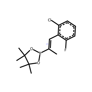 C/C(=C\c1c(F)cccc1Cl)B1OC(C)(C)C(C)(C)O1